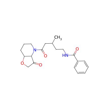 CC(CCNC(=O)c1ccccc1)CC(=O)N1CCCC2OCC(=O)C21